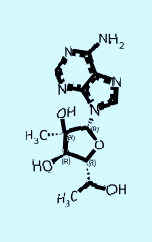 CC(O)[C@H]1O[C@@H](n2cnc3c(N)ncnc32)[C@](C)(O)[C@@H]1O